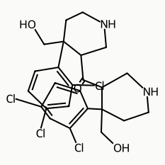 O=C(C1CNCCC1(CO)c1ccc(Cl)cc1Cl)C1CNCCC1(CO)c1ccc(Cl)cc1Cl